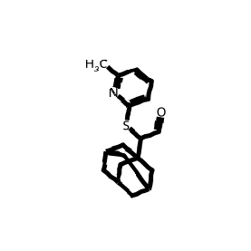 Cc1cccc(SC(C=O)C23CC4CC(CC(C4)C2)C3)n1